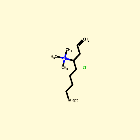 C=CCC(CCCCCCCCCCC)[N+](C)(C)C.[Cl-]